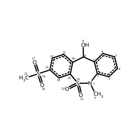 CN1c2ccccc2C(O)c2ccc(S(C)(=O)=O)cc2S1(=O)=O